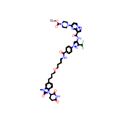 Cn1c(=O)n(C2CCC(=O)NC2=O)c2ccc(CCCCOCCCCNC(=O)c3ccc(-n4cc(NC(=O)c5cnn6ccc(N7CCN(C(=O)OC(C)(C)C)CC7)nc56)c(C(F)F)n4)cc3)cc21